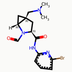 CN(C)C[C@@]12C[C@@H](C(=O)Nc3cccc(Br)n3)N(C=O)[C@@H]1C2